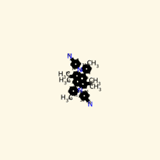 Cc1cccc(N(c2ccc(C#N)cc2)c2cc(C(C)C)c3ccc4c(N(c5ccc(C#N)cc5)c5cccc(C)c5)cc(C(C)C)c5ccc2c3c54)c1